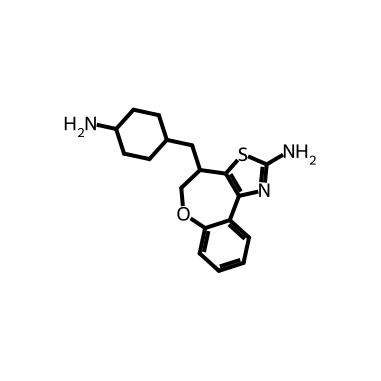 Nc1nc2c(s1)C(CC1CCC(N)CC1)COc1ccccc1-2